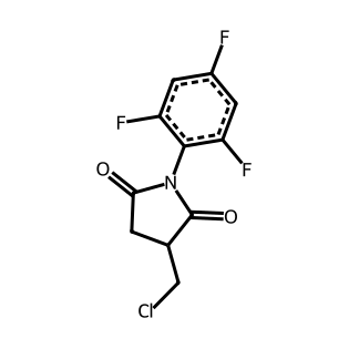 O=C1CC(CCl)C(=O)N1c1c(F)cc(F)cc1F